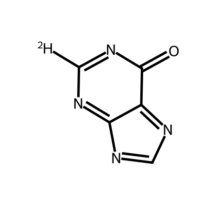 [2H]C1=NC(=O)C2=NC=NC2=N1